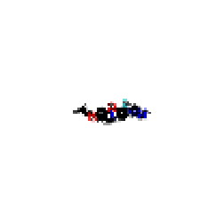 CC(C)CCOc1ccc2c(c1)CCN(c1ccc(N3CC[C@@H](N(C)C)C3)c(F)c1)C2=O